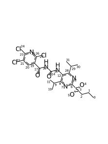 CCCS(=O)(=O)c1nc(C(C)C)c(NC(=O)NC(=O)c2cc(Cl)c(Cl)nc2Cl)c(C(C)C)n1